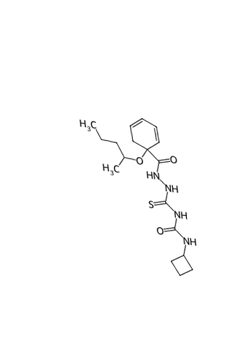 CCCC(C)OC1(C(=O)NNC(=S)NC(=O)NC2CCC2)C=CC=CC1